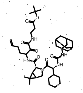 C=CCCC(NC(=O)[C@@H]1C2C(CN1C(=O)[C@@H](NC(=O)NC13CC4CC(CC(C4)C1)C3)C1CCCCC1)C2(C)C)C(=O)C(=O)NCCC(=O)OC(C)(C)C